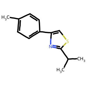 Cc1ccc(-c2csc(C(C)C)n2)cc1